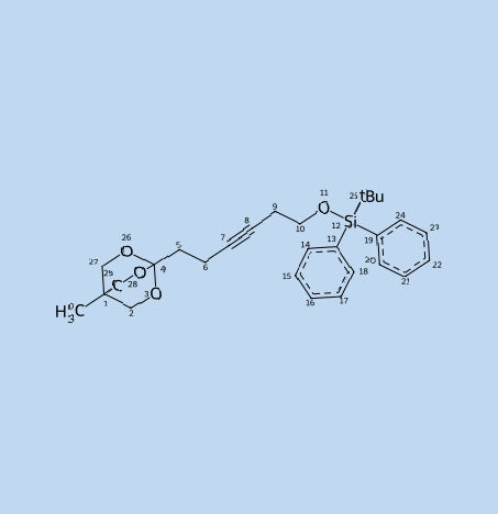 CC12COC(CCC#CCCO[Si](c3ccccc3)(c3ccccc3)C(C)(C)C)(OC1)OC2